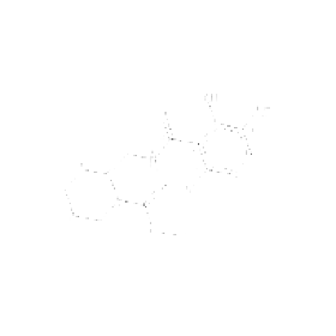 COC(=O)C1CCCCC1CNC(=O)c1c(N)ccc(C)c1C